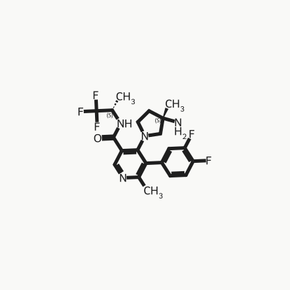 Cc1ncc(C(=O)N[C@@H](C)C(F)(F)F)c(N2CC[C@](C)(N)C2)c1-c1ccc(F)c(F)c1